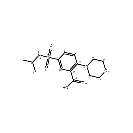 CC(C)NS(=O)(=O)c1ccc(N2CCOCC2)c(C(=O)O)c1